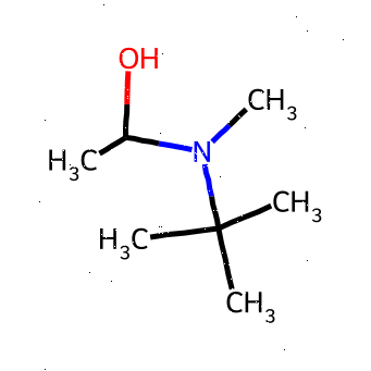 CC(O)N(C)C(C)(C)C